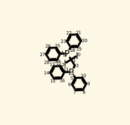 IC(I)(CP(c1ccccc1)c1ccccc1)P(c1ccccc1)c1ccccc1